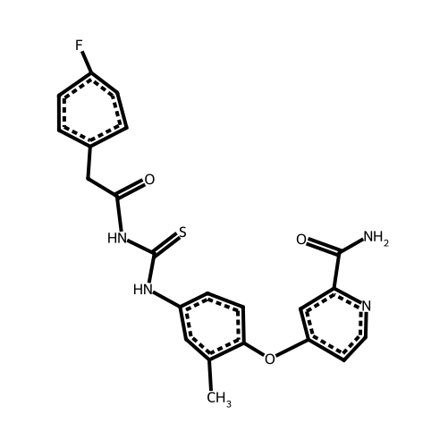 Cc1cc(NC(=S)NC(=O)Cc2ccc(F)cc2)ccc1Oc1ccnc(C(N)=O)c1